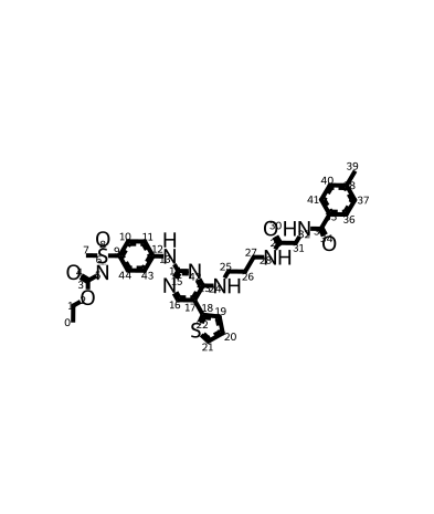 CCOC(=O)N=S(C)(=O)c1ccc(Nc2ncc(-c3cccs3)c(NCCCNC(=O)CNC(=O)c3ccc(C)cc3)n2)cc1